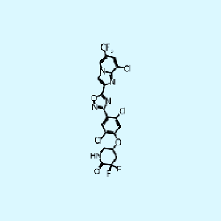 O=C1NC[C@@H](Oc2cc(Cl)c(-c3noc(-c4cn5cc(C(F)(F)F)cc(Cl)c5n4)n3)cc2Cl)CC1(F)F